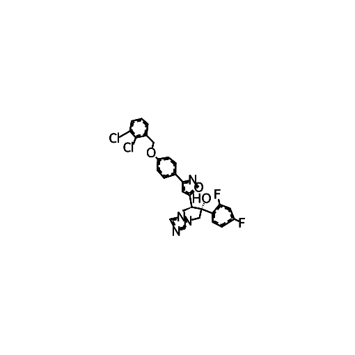 C[C@@H](c1cc(-c2ccc(OCc3cccc(Cl)c3Cl)cc2)no1)[C@](O)(Cn1cncn1)c1ccc(F)cc1F